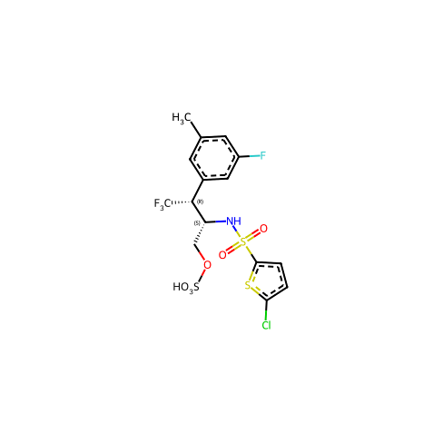 Cc1cc(F)cc([C@H]([C@@H](COS(=O)(=O)O)NS(=O)(=O)c2ccc(Cl)s2)C(F)(F)F)c1